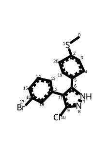 CSc1ccc(-c2[nH]nc(Cl)c2-c2cccc(Br)c2)cc1